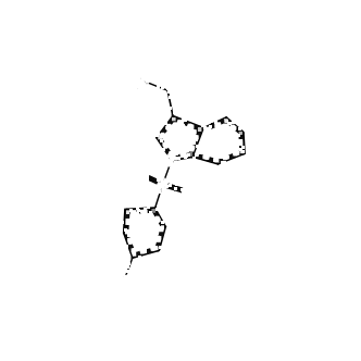 NCc1cn(S(=O)(=O)c2ccc(Cl)cc2)c2ccccc12